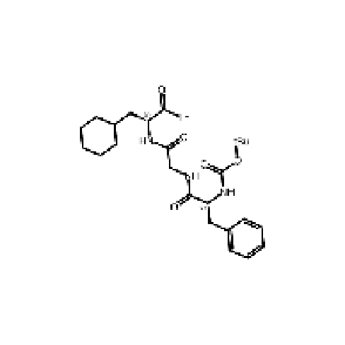 CCC(=O)[C@H](CC1CCCCC1)NC(=O)CNC(=O)[C@H](Cc1ccccc1)NC(=O)OC(C)(C)C